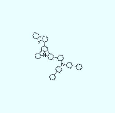 c1ccc(-c2ccc(N(c3ccc(-c4ccccc4)cc3)c3cccc(-c4ccc5c(c4)c4cc(-c6cccc7c6sc6ccccc67)cc6c7ccccc7n5c64)c3)cc2)cc1